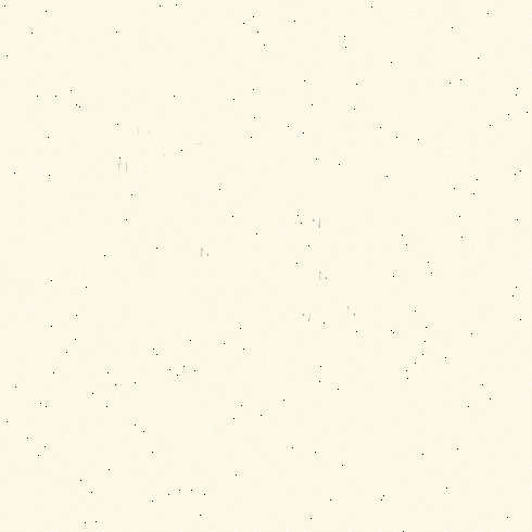 CC(C)(C)c1ccc2c(c1)c1ccccc1n2-c1ccc(-c2nc(-c3ccccc3)nc(-c3ccccc3)n2)c(C#N)c1